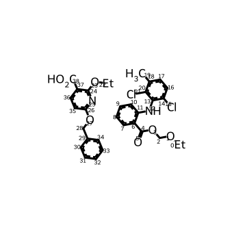 CCOCOC(=O)c1ccccc1Nc1c(Cl)ccc(C)c1Cl.CCOc1nc(OCc2ccccc2)ccc1C(=O)O